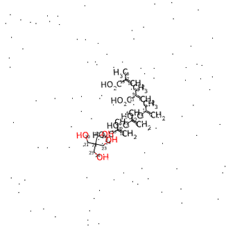 C=C(C)C(=O)O.C=C(C)C(=O)O.C=C(C)C(=O)O.C=C(C)C(=O)O.C=C(C)C(=O)O.OCC(CO)(CO)CO